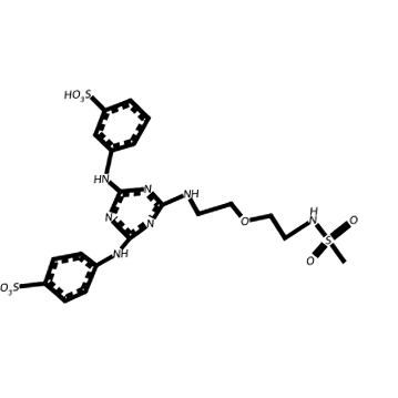 CS(=O)(=O)NCCOCCNc1nc(Nc2ccc(S(=O)(=O)O)cc2)nc(Nc2cccc(S(=O)(=O)O)c2)n1